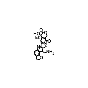 CC[C@@]1(O)C(=O)OCc2c1cc1n(c2=O)Cc2c-1nc1ccc3c(c1c2CN)OCC3